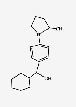 CC1CCCN1c1ccc(C(O)C2CCCCC2)cc1